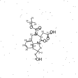 CC(C)(CO)CN1C(=O)C(CC(=O)O)N(C(=O)OC(C)(C)C)Cc2ccccc21